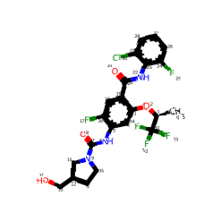 C[C@H](Oc1cc(NC(=O)N2CCC(CO)C2)c(F)cc1C(=O)Nc1c(F)cccc1Cl)C(F)(F)F